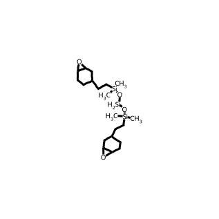 C[Si](C)(CCC1CCC2OC2C1)O[SiH2]O[Si](C)(C)CCC1CCC2OC2C1